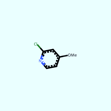 COc1[c]cnc(Cl)c1